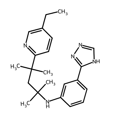 CCc1ccc(C(C)(C)CC(C)(C)Nc2cccc(-c3nnc[nH]3)c2)nc1